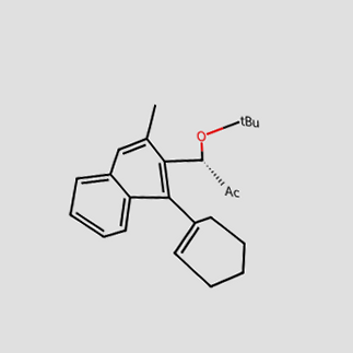 CC(=O)[C@@H](OC(C)(C)C)c1c(C)cc2ccccc2c1C1=CCCCC1